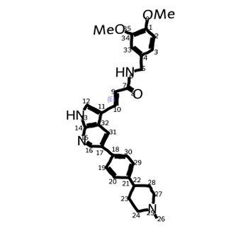 COc1ccc(CNC(=O)/C=C/c2c[nH]c3ncc(-c4ccc(C5CCN(C)CC5)cc4)cc23)cc1OC